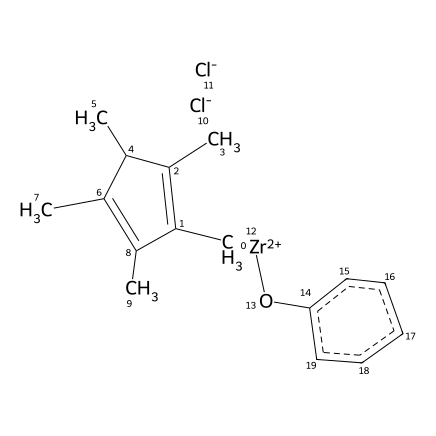 CC1=C(C)C(C)C(C)=C1C.[Cl-].[Cl-].[Zr+2][O]c1ccccc1